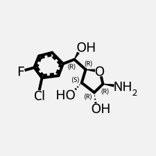 N[C@@H]1O[C@H]([C@H](O)c2ccc(F)c(Cl)c2)[C@@H](O)[C@H]1O